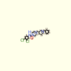 O=C(Nc1ccc(Cl)c(Cl)c1)N1CCN(C[C@@H]2CCCN(Cc3ccccc3)C2)CC1